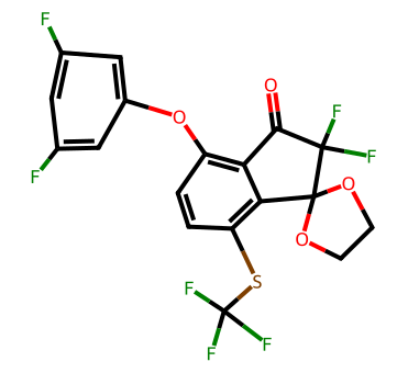 O=C1c2c(Oc3cc(F)cc(F)c3)ccc(SC(F)(F)F)c2C2(OCCO2)C1(F)F